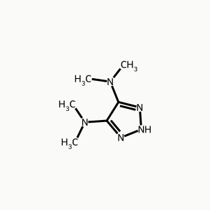 CN(C)c1n[nH]nc1N(C)C